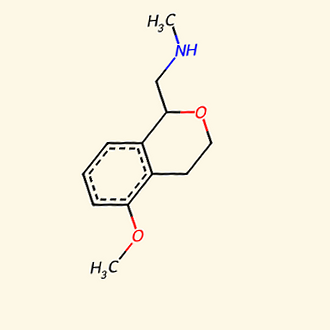 CNCC1OCCc2c(OC)cccc21